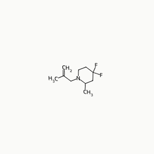 C=C(C)CN1CCC(F)(F)CC1C